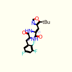 CC(C)(C)c1ocnc1/C=c1\[nH]c(=O)/c(=C/c2cc(F)cc(F)c2F)[nH]c1=O